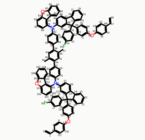 C=Cc1ccc(Oc2ccc(C3(c4ccc(F)cc4)c4ccccc4-c4ccc(N(c5ccc(-c6cc(C)c(-c7ccc(N(c8ccc9c(c8)C(c8ccc(F)cc8)(c8ccc(Oc%10ccc(C=C)cc%10)cc8)c8ccccc8-9)c8cccc9oc%10ccccc%10c89)cc7)cc6C)cc5)c5cccc6oc7ccccc7c56)cc43)cc2)cc1